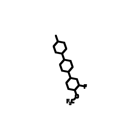 CC1CCC(C2CCC(C3CCC(OC(F)(F)F)C(F)C3)CC2)CC1